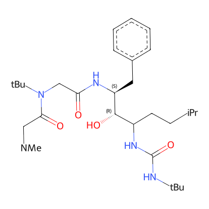 CNCC(=O)N(CC(=O)N[C@@H](Cc1ccccc1)[C@@H](O)C(CCC(C)C)NC(=O)NC(C)(C)C)C(C)(C)C